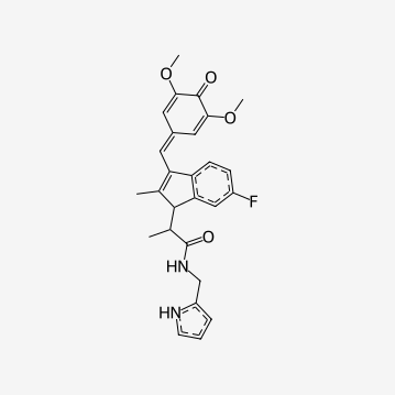 COC1=CC(=CC2=C(C)C(C(C)C(=O)NCc3ccc[nH]3)c3cc(F)ccc32)C=C(OC)C1=O